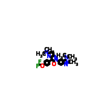 CN(C)c1ccc2nn(-c3ccc4nn(C)c(N(C)C)c4c3)c(=O)c(-c3ccc(OC(F)F)cc3)c2n1